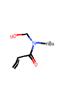 C=CC(=O)N(CO)CCCC